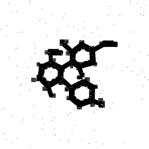 COc1cc(F)c(-c2c(OC)nnc(C)c2-c2ccc(Cl)cc2)c(F)c1